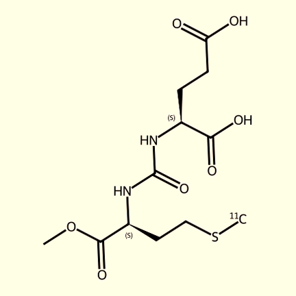 COC(=O)[C@H](CCS[11CH3])NC(=O)N[C@@H](CCC(=O)O)C(=O)O